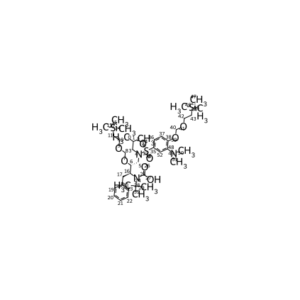 CC(C)CN(C[C@@H](OCOCC[Si](C)(C)C)[C@H](Cc1ccccc1)N(C(=O)O)C(C)(C)C)S(=O)(=O)c1ccc(OCOCC[Si](C)(C)C)c(N(C)C)c1